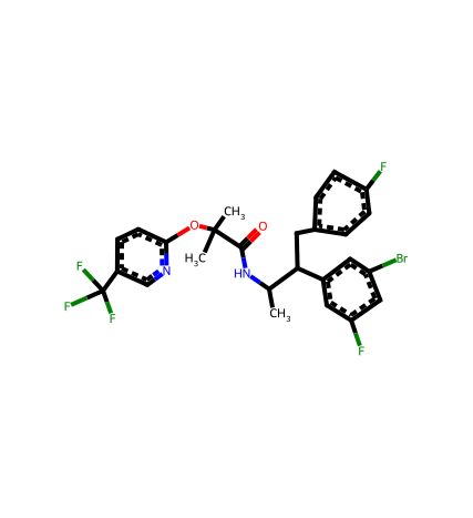 CC(NC(=O)C(C)(C)Oc1ccc(C(F)(F)F)cn1)C(Cc1ccc(F)cc1)c1cc(F)cc(Br)c1